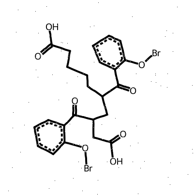 O=C(O)CCCCC(CC(CC(=O)O)C(=O)c1ccccc1OBr)C(=O)c1ccccc1OBr